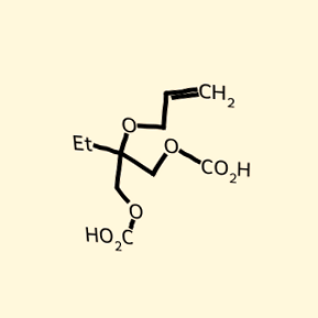 C=CCOC(CC)(COC(=O)O)COC(=O)O